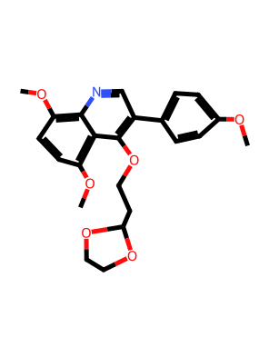 COc1ccc(-c2cnc3c(OC)ccc(OC)c3c2OCCC2OCCO2)cc1